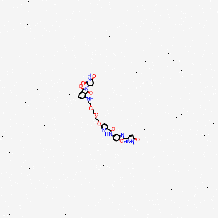 CN1NC(c2nc3cc(NC(=O)c4ccc(OCCOCCOCCNc5cccc6c5C(=O)N(C5CCC(=O)NC5=O)C6=O)cn4)ccc3o2)C=CC1=O